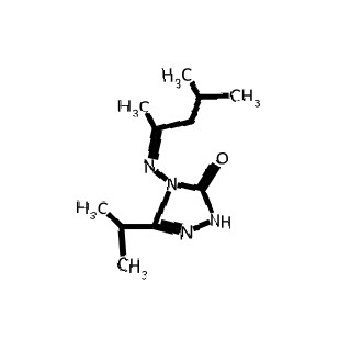 CC(CC(C)C)=Nn1c(C(C)C)n[nH]c1=O